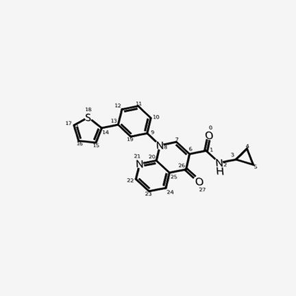 O=C(NC1CC1)c1cn(-c2cccc(-c3cc[c]s3)c2)c2ncccc2c1=O